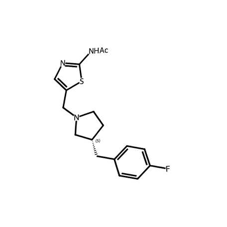 CC(=O)Nc1ncc(CN2CC[C@H](Cc3ccc(F)cc3)C2)s1